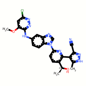 COc1cc(Cl)nnc1Nc1ccc2c(c1)ncn2-c1ccc([C@H](C)O)c(-c2c(C#N)n[nH]c2C)n1